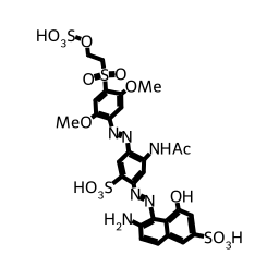 COc1cc(S(=O)(=O)CCOS(=O)(=O)O)c(OC)cc1/N=N/c1cc(S(=O)(=O)O)c(/N=N/c2c(N)ccc3cc(S(=O)(=O)O)cc(O)c23)cc1NC(C)=O